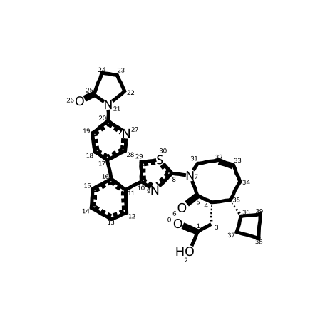 O=C(O)C[C@@H]1C(=O)N(c2nc(-c3ccccc3-c3ccc(N4CCCC4=O)nc3)cs2)C/C=C\C[C@@H]1C1CCC1